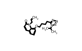 C=CCn1c(=O)ccc2cccc(OCCCCc3nnnn3C(C)C)c21